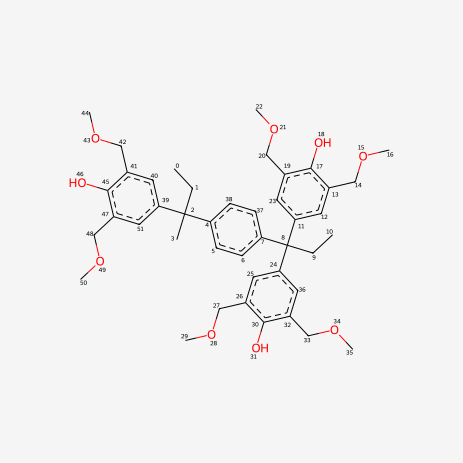 CCC(C)(c1ccc(C(CC)(c2cc(COC)c(O)c(COC)c2)c2cc(COC)c(O)c(COC)c2)cc1)c1cc(COC)c(O)c(COC)c1